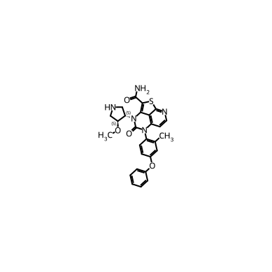 CO[C@H]1CNC[C@@H]1N1C(=O)N(c2ccc(Oc3ccccc3)cc2C)c2ccnc3sc(C(N)=O)c1c23